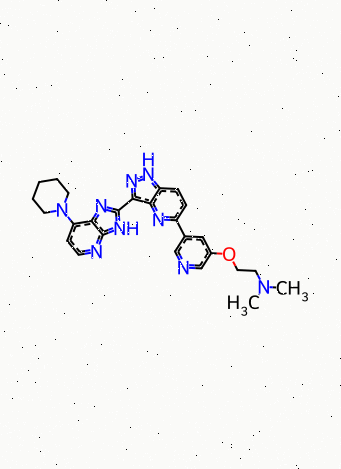 CN(C)CCOc1cncc(-c2ccc3[nH]nc(-c4nc5c(N6CCCCC6)ccnc5[nH]4)c3n2)c1